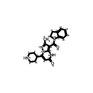 Cc1nn2c(C3CCNCC3)cc(=O)[nH]c2c1C(=O)N1CCc2ccccc21